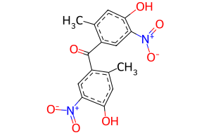 Cc1cc(O)c([N+](=O)[O-])cc1C(=O)c1cc([N+](=O)[O-])c(O)cc1C